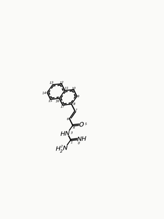 N=C(N)NC(=O)C=Cc1ccc2ccccc2c1